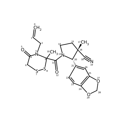 C=CCN1C(=O)CSSC1(C)C(=O)N1CC[C@](C)(C#N)[C@@H]1c1ccc2c(c1)OCO2